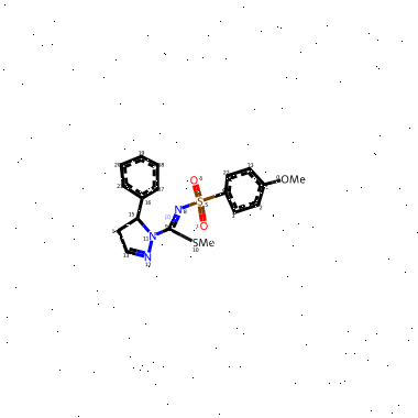 COc1ccc(S(=O)(=O)/N=C(\SC)N2N=CCC2c2ccccc2)cc1